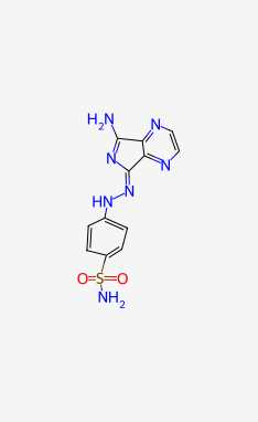 NC1=NC(=NNc2ccc(S(N)(=O)=O)cc2)c2nccnc21